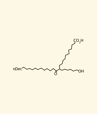 CCCCCCCCCCCCCCCCCCCCCC(=O)C(CCCCCCO)CCCCCCCCCCC(=O)O